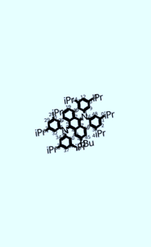 CC(C)c1cc(C(C)C)cc(N(c2cc(C(C)C)cc(C(C)C)c2)c2c3ccccc3c(N(c3cc(C(C)C)cc(C(C)C)c3)c3cc(C(C)C)cc(C(C)C)c3)c3cc(C(C)(C)C)ccc23)c1